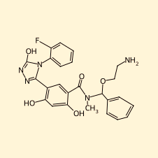 CN(C(=O)c1cc(-c2nnc(O)n2-c2ccccc2F)c(O)cc1O)C(OCCN)c1ccccc1